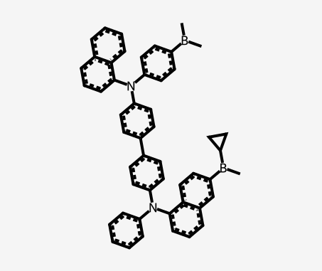 CB(C)c1ccc(N(c2ccc(-c3ccc(N(c4ccccc4)c4cccc5cc(B(C)C6CC6)ccc45)cc3)cc2)c2cccc3ccccc23)cc1